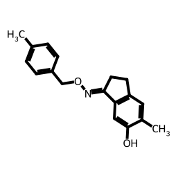 Cc1ccc(CO/N=C2\CCc3cc(C)c(O)cc32)cc1